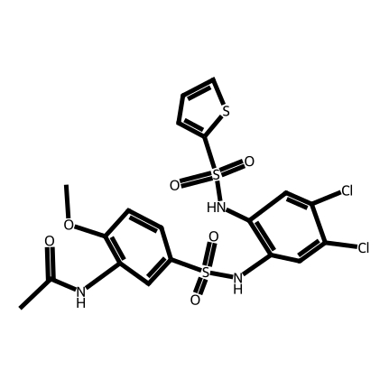 COc1ccc(S(=O)(=O)Nc2cc(Cl)c(Cl)cc2NS(=O)(=O)c2cccs2)cc1NC(C)=O